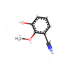 COc1c([O])cccc1C#N